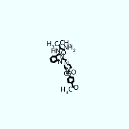 CC(=O)c1ccc(S(=O)(=O)N2CCN(Cc3nc(N[C@H](C(N)=O)C(C)C)c4ccccc4n3)CC2)cc1